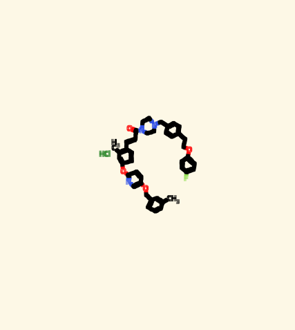 Cc1cccc(COc2ccc(Oc3ccc(C=CC(=O)N4CCN(Cc5ccc(CCOc6ccc(F)cc6)cc5)CC4)c(C)c3)nc2)c1.Cl